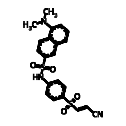 CN(C)c1cccc2cc(S(=O)(=O)Nc3ccc(S(=O)(=O)C=CC#N)cc3)ccc12